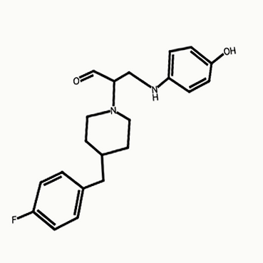 O=CC(CNc1ccc(O)cc1)N1CCC(Cc2ccc(F)cc2)CC1